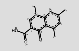 Cc1cc(C)c2c(=O)c(C(=O)O)cn(C)c2n1